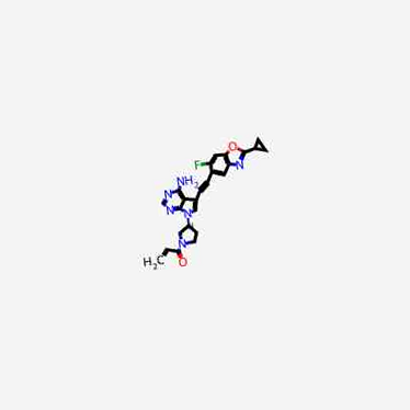 C=CC(=O)N1CC[C@H](n2cc(C#Cc3cc4nc(C5CC5)oc4cc3F)c3c(N)ncnc32)C1